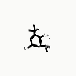 CNc1cc(Br)cc(C(C)(C)C)c1N